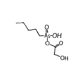 CCCCC[As](=O)(O)OC(=O)CO